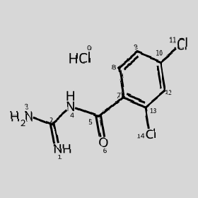 Cl.N=C(N)NC(=O)c1ccc(Cl)cc1Cl